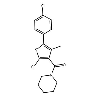 Cc1c(-c2ccc(Cl)cc2)sc(Cl)c1C(=O)N1CCCCC1